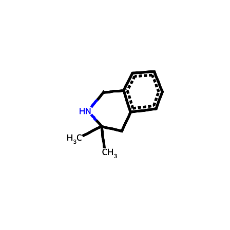 CC1(C)Cc2ccccc2[CH]N1